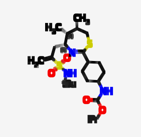 C=C(C[C@H]1N=C(C2CCC(NC(=O)OC(C)C)CC2)SCC(C)[C@H]1C)S(=O)(=O)NC(C)(C)C